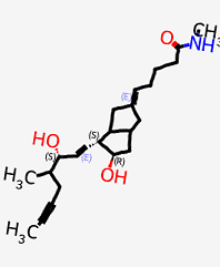 CC#CCC(C)[C@H](O)/C=C/[C@@H]1C2C/C(=C/CCCC(=O)NC)CC2C[C@H]1O